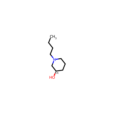 CCCCN1CCC[C@@H](O)C1